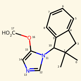 CC1(C)Cc2ccccc2C1n1cncc1OC(=O)O